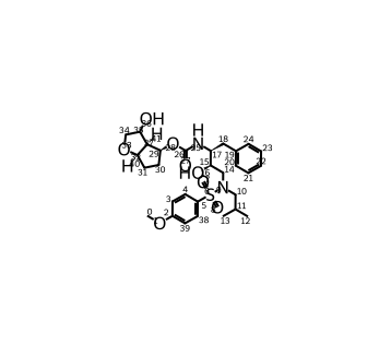 COc1ccc(S(=O)(=O)N(CC(C)C)C[C@@H](O)[C@H](Cc2ccccc2)NC(=O)O[C@H]2CC[C@H]3OCC(O)[C@@H]23)cc1